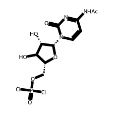 CC(=O)Nc1ccn([C@@H]2O[C@H](COP(=O)(Cl)Cl)C(O)[C@@H]2O)c(=O)n1